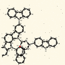 c1ccc(-c2nc(-c3ccc4c(c3)sc3ccccc34)nc(-n3c4ccc(-n5c6ccccc6c6ccccc65)cc4c4ccc5c6ccccc6n(-c6ccccc6)c5c43)n2)cc1